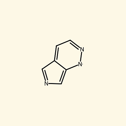 C1=NC=C2[N]N=CC=C12